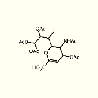 CC(=O)NC1C(OC(C)=O)C=C(C(=O)O)OC1C(I)C(OC(C)=O)C(OC(C)=O)OC(C)=O